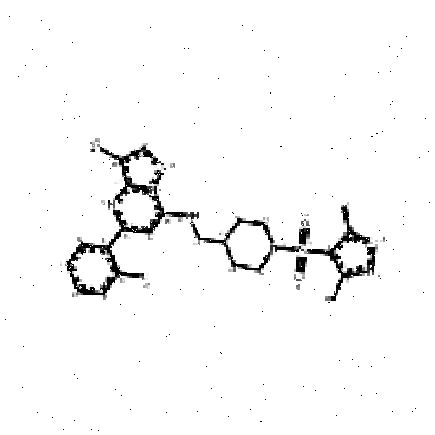 Cc1noc(C)c1S(=O)(=O)N1CCC(CNc2cc(-c3ccccc3Cl)nc3c(Br)cnn23)CC1